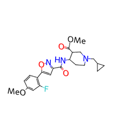 COC(=O)C1CN(CC2CC2)CCC1NC(=O)c1cc(-c2ccc(OC)cc2F)on1